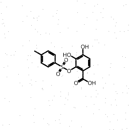 Cc1ccc(S(=O)(=O)Oc2c(C(=O)O)ccc(O)c2O)cc1